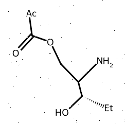 CC[C@H](O)C(N)COC(=O)C(C)=O